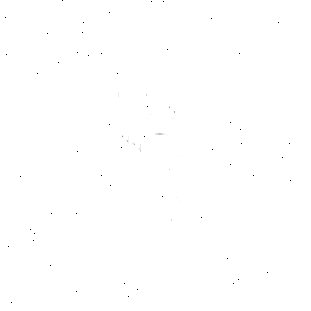 CCCCCCc1ncc(-c2ccc(-c3cccs3)s2)c2nnsc12